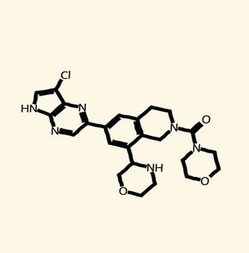 O=C(N1CCOCC1)N1CCc2cc(-c3cnc4[nH]cc(Cl)c4n3)cc(C3COCCN3)c2C1